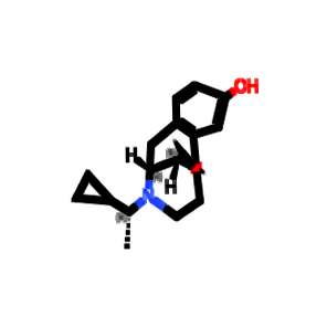 C[C@H](C1CC1)N1CCC23CCCC[C@H]2[C@H]1Cc1ccc(O)cc13